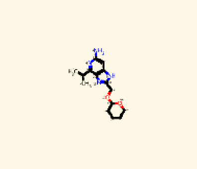 CC(C)c1nc(N)cc2[nH]c(COC3CCCCO3)nc12